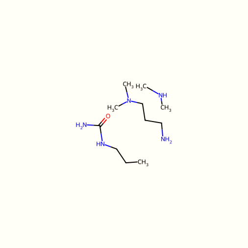 CCCNC(N)=O.CN(C)CCCN.CNC